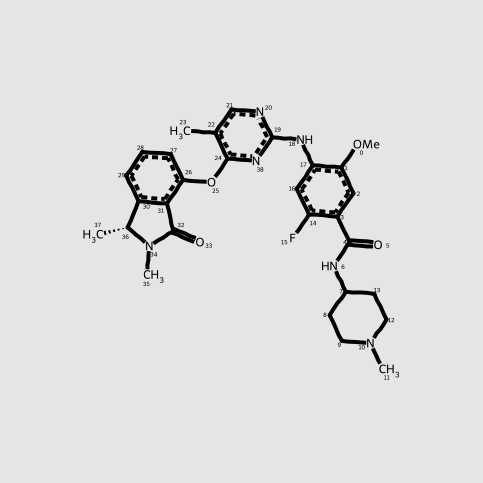 COc1cc(C(=O)NC2CCN(C)CC2)c(F)cc1Nc1ncc(C)c(Oc2cccc3c2C(=O)N(C)[C@@H]3C)n1